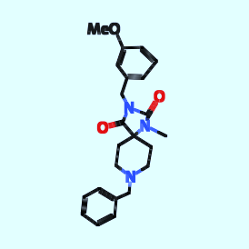 COc1cccc(CN2C(=O)N(C)C3(CCN(Cc4ccccc4)CC3)C2=O)c1